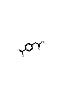 CC(=O)Cc1ccc(C(=O)Cl)cc1